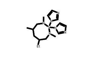 CCC1CC(C)CN(C)S(n2ccnc2)(n2ccnc2)N(C)C1